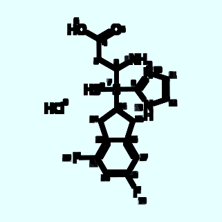 Cl.NC(CC(=O)O)S(S)(c1ncc[nH]1)C1Cc2cc(F)cc(F)c2C1